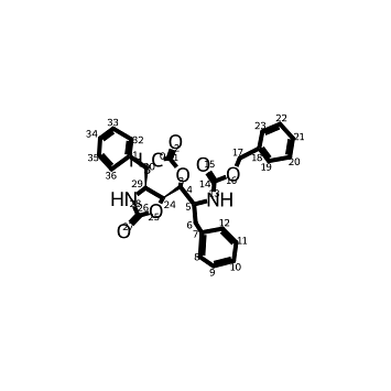 CC(=O)OC(C(Cc1ccccc1)NC(=O)OCc1ccccc1)[C@H]1OC(=O)N[C@H]1Cc1ccccc1